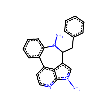 NN1c2ccccc2-c2ccnc3c2c(cn3N)C1Cc1ccccc1